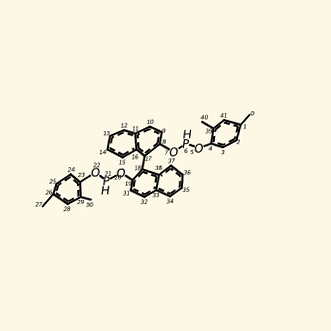 Cc1ccc(OPOc2ccc3ccccc3c2-c2c(OPOc3ccc(C)cc3C)ccc3ccccc23)c(C)c1